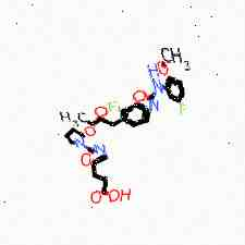 COc1ccc(F)cc1Nc1nc2ccc(CC(=O)C(C)O[C@H]3CCCN3c3ncc(CCC(=O)O)o3)c(F)c2o1